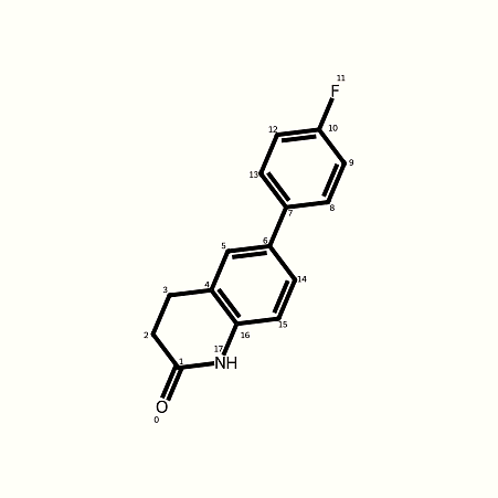 O=C1CCc2cc(-c3ccc(F)cc3)ccc2N1